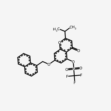 CC(C)c1cc(=O)c2c(OS(=O)(=O)C(F)(F)F)cc(OCc3cccc4ccccc34)cc2o1